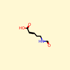 O=[C]NCCC=CC(=O)O